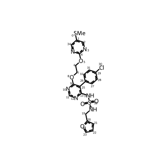 CSc1cnc(OCCOc2ncnc(NS(=O)(=O)NCc3ccco3)c2-c2ccc(Cl)cc2)nc1